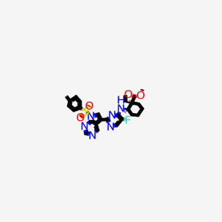 CC[C@@]1(C(=O)OC)CCCC[C@H]1Nc1nc(-c2cn(S(=O)(=O)c3ccc(C)cc3)c3ncncc23)ncc1F